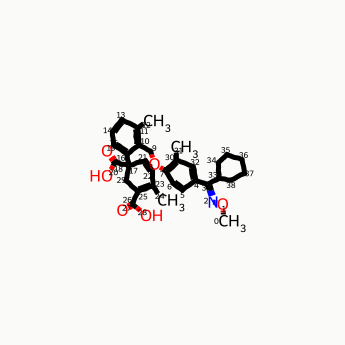 CON=C(c1ccc(OCc2c(C)cccc2C2(C(=O)O)C=CC(C)=C(C(=O)O)C2)c(C)c1)C1CCCCC1